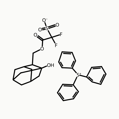 O=C(OCC1C2CC3CC(C2)CC1(O)C3)C(F)(F)S(=O)(=O)[O-].c1ccc([S+](c2ccccc2)c2ccccc2)cc1